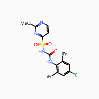 COc1nccc(S(=O)(=O)NC(=O)Nc2c(C(C)C)cc(Cl)cc2C(C)C)n1